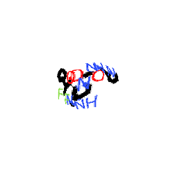 O=C(c1nnc(-c2ccccn2)o1)N1CCc2[nH]cnc2[C@@H]1c1oc2ccccc2c1C(F)F